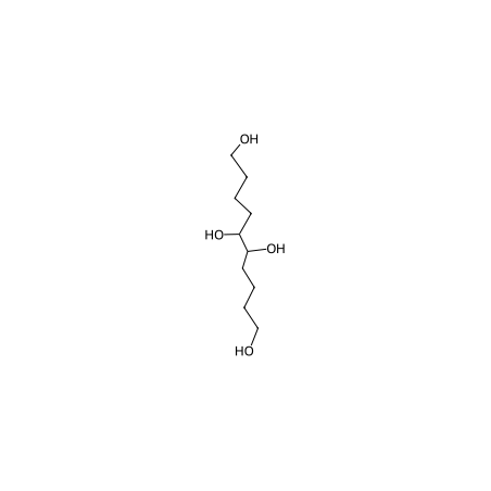 OCCCCC(O)C(O)CCCCO